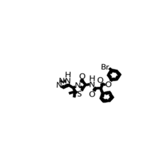 CC1(C)SC2C(NC(=O)C(C(=O)Oc3cccc(Br)c3)c3ccccc3)C(=O)N2C1c1cnn[nH]1